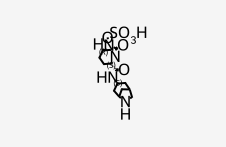 O=C(N[C@H]1CC2CNC(C2)C1)[C@@H]1CC[C@@H]2CN1C(=O)N2OS(=O)(=O)O